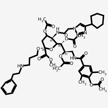 COC(=O)[C@@]1(OCCCNCCc2ccccc2)CC(OC(C)=O)[C@@H](NC(=O)Cn2cc(C3CCCCC3)nn2)C([C@H](OC(C)=O)[C@@H](CNC(=O)c2cc(C)c(OC(C)=O)c(C)c2)OC(C)=O)O1